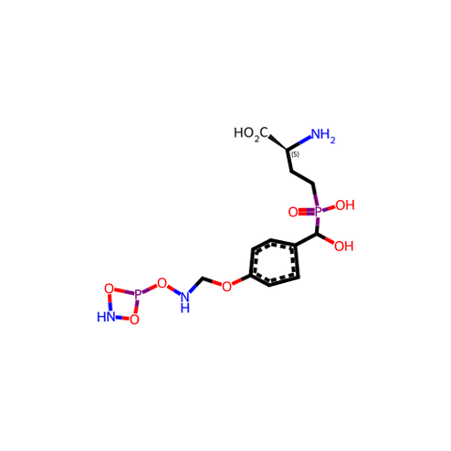 N[C@@H](CCP(=O)(O)C(O)c1ccc(OCNOP2ONO2)cc1)C(=O)O